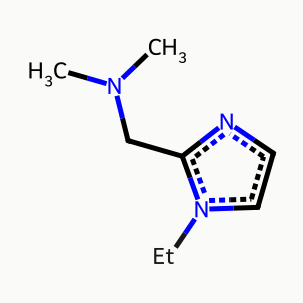 CCn1ccnc1CN(C)C